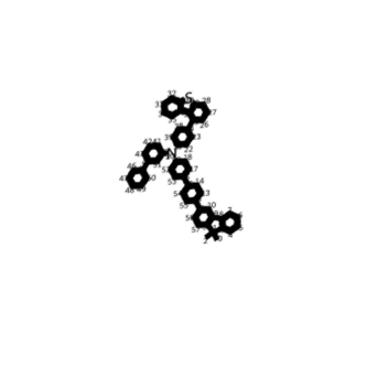 CC1(C)c2ccccc2-c2cc(-c3ccc(-c4ccc(N(c5ccc(-c6cccc7sc8ccccc8c67)cc5)c5cccc(-c6ccccc6)c5)cc4)cc3)ccc21